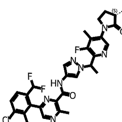 Cc1ncc(-c2c(C(F)F)ccc(Cl)c2C)nc1C(=O)Nc1cnn(C(C)c2ncc(N3CC[C@H](C)C3=O)c(C)c2F)c1